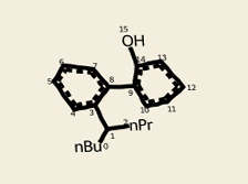 CCCCC(CCC)c1ccccc1-c1ccccc1O